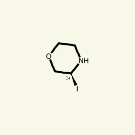 I[C@H]1COCCN1